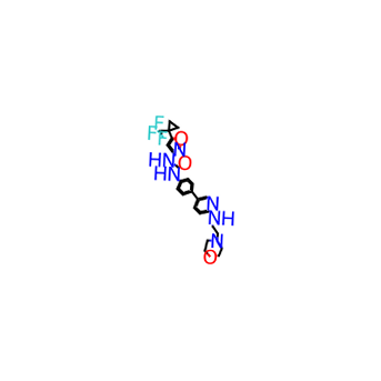 O=C(Nc1ccc(-c2ccc(NCCN3CCOCC3)nc2)cc1)Nc1cc(C2(C(F)(F)F)CC2)on1